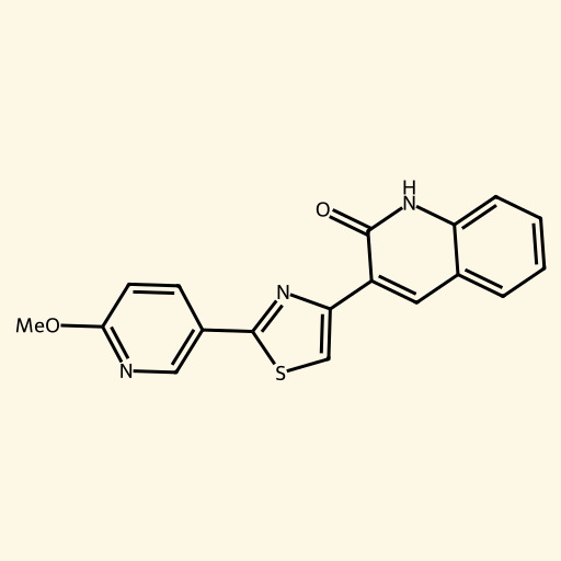 COc1ccc(-c2nc(-c3cc4ccccc4[nH]c3=O)cs2)cn1